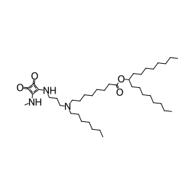 CCCCCCCCC(CCCCCCCC)OC(=O)CCCCCCCN(CCCCCCC)CCCNc1c(NC)c(=O)c1=O